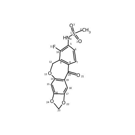 CS(=O)(=O)Nc1ccc2c(c1F)COc1cc3c(cc1C2=O)OCO3